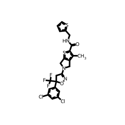 Cc1c(C(=O)NCc2cccs2)sc2c1CN(C1=NOC(c3cc(Cl)cc(Cl)c3)(C(F)(F)F)C1)C2